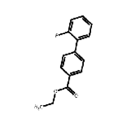 CCOC(=O)c1ccc(-c2ccccc2F)cc1